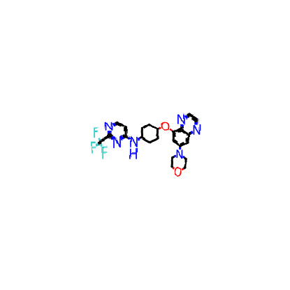 FC(F)(F)c1nccc(NC2CCC(Oc3cc(N4CCOCC4)cc4nccnc34)CC2)n1